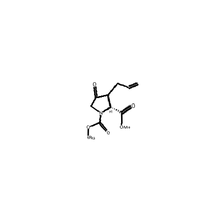 C=CCC1C(=O)CN(C(=O)OC(C)(C)C)[C@H]1C(=O)OC